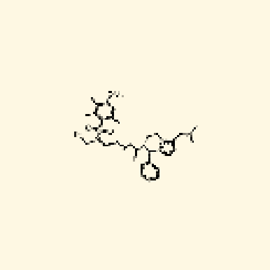 COc1cc(C)c(S(=O)(=O)N(CCOCC(=O)N2CCn3c(CN(C)C)ccc3C2c2ccccc2)CC(C)C)c(C)c1C